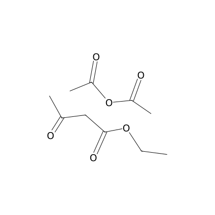 CC(=O)OC(C)=O.CCOC(=O)CC(C)=O